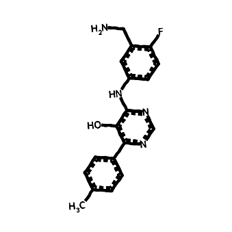 Cc1ccc(-c2ncnc(Nc3ccc(F)c(CN)c3)c2O)cc1